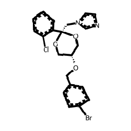 Clc1ccccc1[C@]1(Cn2ccnc2)OC[C@@H](OCc2ccc(Br)cc2)CO1